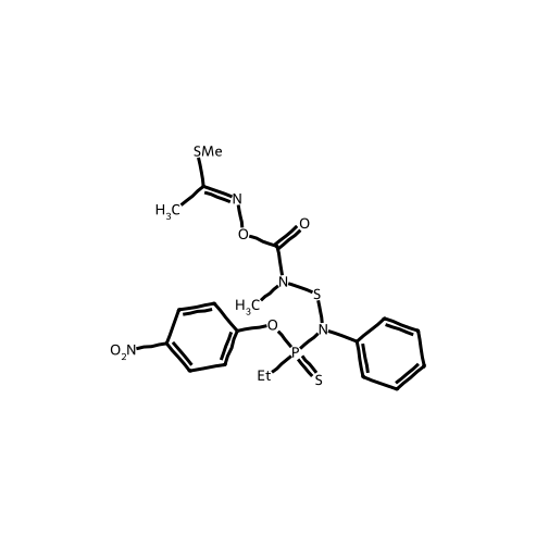 CCP(=S)(Oc1ccc([N+](=O)[O-])cc1)N(SN(C)C(=O)ON=C(C)SC)c1ccccc1